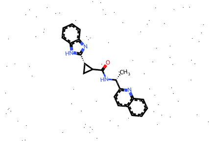 C[C@@H](NC(=O)C1C[C@@H]1c1nc2ccccc2[nH]1)c1ccc2ccccc2n1